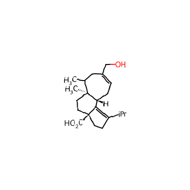 CC(C)C1=C2[C@H]3CC=C(CO)CC(C)[C@]3(C)CC[C@@]2(C(=O)O)CC1